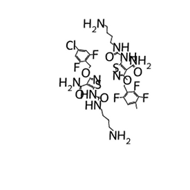 Cc1cc(F)c(COc2nsc(NC(=O)NCCCCN)c2C(N)=O)c(F)c1F.NCCCCCNC(=O)Nc1snc(OCc2c(F)cc(Cl)cc2F)c1C(N)=O